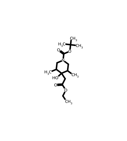 CCOC(=O)CC1(O)C(C)CN(C(=O)OC(C)(C)C)CC1C